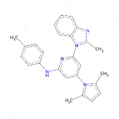 Cc1ccc(Nc2cc(-n3c(C)ccc3C)cc(-n3c(C)nc4ccccc43)n2)cc1